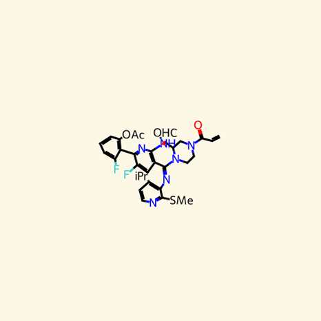 C=CC(=O)N1CCN(/C(=N/c2c(C(C)C)ccnc2SC)c2cc(F)c(-c3c(F)cccc3OC(C)=O)nc2NC=O)C(C)C1